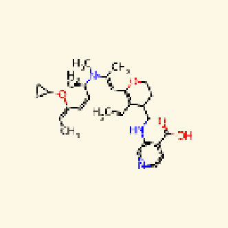 C=CC1=C(/C=C(\C)N(C)C(=C)/C=C\C(=C/C)OC2CC2)OCC[C@H]1CNc1cnccc1C(=O)O